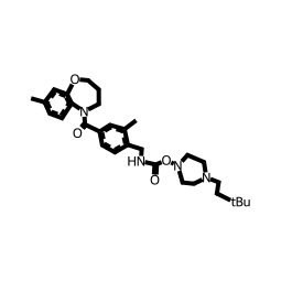 Cc1ccc2c(c1)OCCCN2C(=O)c1ccc(CNC(=O)ON2CCN(CCC(C)(C)C)CC2)c(C)c1